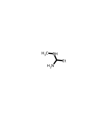 CBC(N)CC